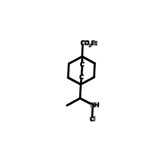 CCOC(=O)C12CCC(C(C)NCl)(CC1)CC2